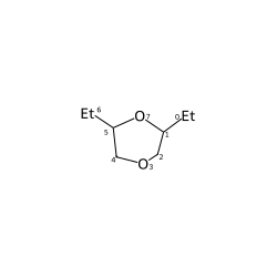 CCC1COCC(CC)O1